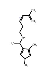 C=C(C)/C=C\CCNC(C)C1=CC(C)C=C1C